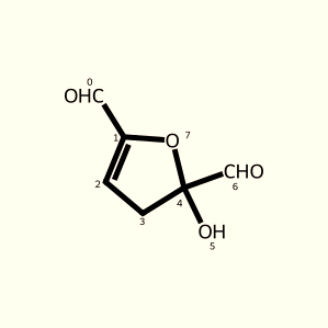 O=CC1=CCC(O)(C=O)O1